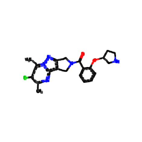 Cc1nc2c3c(nn2c(C)c1Cl)CN(C(=O)c1ccccc1OC1CCNC1)C3